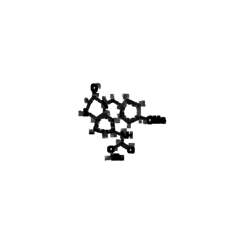 COc1ccc(CN2C(=O)CSc3ccc(NC(=O)OC(C)(C)C)cc32)cc1